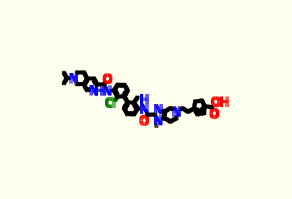 Cc1c(NC(=O)c2nc3c(n2C)CCN(CCC24CCC(C(=O)O)(CC2)C4)C3)cccc1-c1cccc(NC(=O)c2cc3c(cn2)CN(C(C)C)CC3)c1Cl